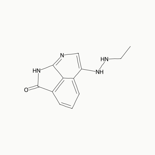 CCNNc1cnc2c3c(cccc13)C(=O)N2